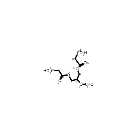 O=COC(COC(=O)CC(=O)O)COC(=O)CC(=O)O